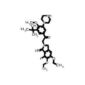 CCOc1cc2c(c(F)c1OCC)C(=N)N(CC(=O)c1cc(N3CCNCC3)c(OC)c(C(C)(C)C)c1)C2